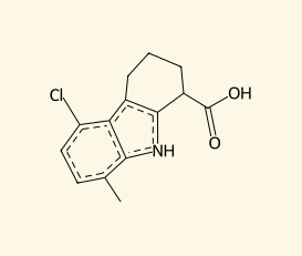 Cc1ccc(Cl)c2c3c([nH]c12)C(C(=O)O)CCC3